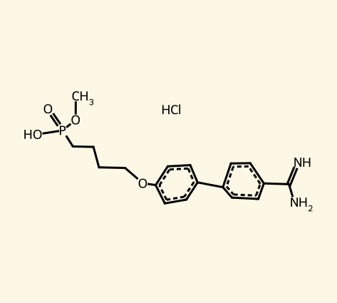 COP(=O)(O)CCCCOc1ccc(-c2ccc(C(=N)N)cc2)cc1.Cl